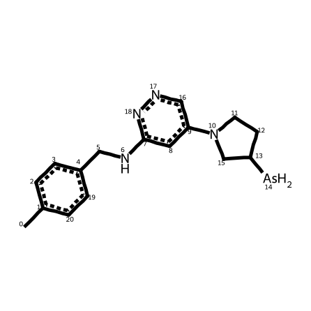 Cc1ccc(CNc2cc(N3CCC([AsH2])C3)cnn2)cc1